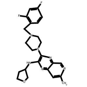 Cc1cc2nc(NC3CCOC3)c(N3CCN(Cc4ccc(F)cc4F)CC3)nc2cn1